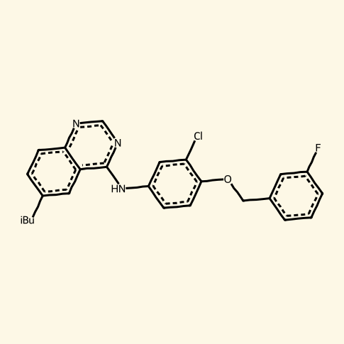 CCC(C)c1ccc2ncnc(Nc3ccc(OCc4cccc(F)c4)c(Cl)c3)c2c1